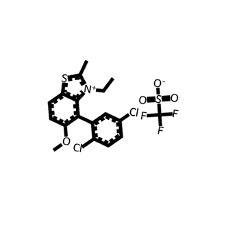 CC[n+]1c(C)sc2ccc(OC)c(-c3cc(Cl)ccc3Cl)c21.O=S(=O)([O-])C(F)(F)F